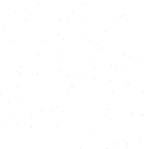 CCc1ccc(-c2nnc(NS(=O)(=O)C(C)Cc3ncc(F)cn3)n2-c2c(OC)cccc2OC)o1